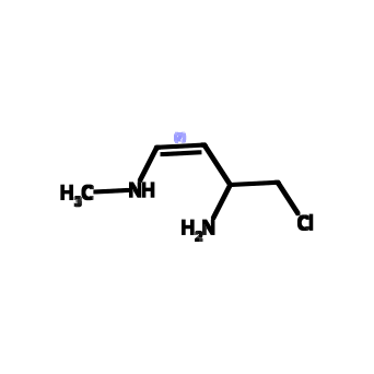 CN/C=C\C(N)CCl